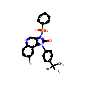 CC(C)(C#N)c1ccc(-n2c(=O)n(S(=O)(=O)c3ccccc3)c3cnc4ccc(Br)cc4c32)cc1